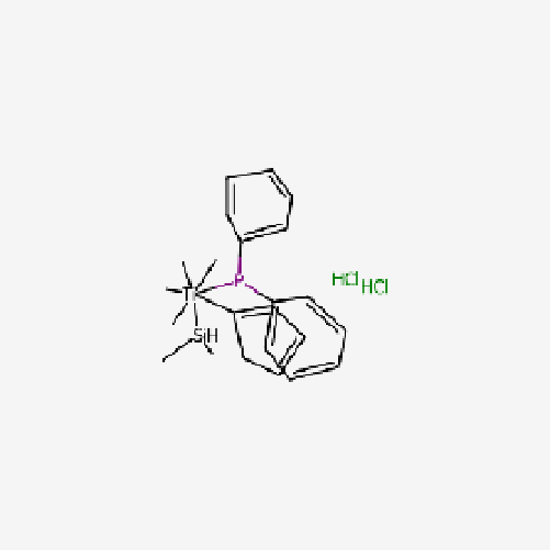 C[SiH](C)[Ti]([CH3])([CH3])([CH3])([CH3])([C]1=CC=CC1)[P](c1ccccc1)c1ccccc1.Cl.Cl